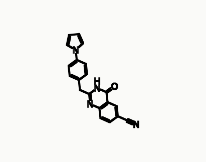 N#Cc1ccc2nc(Cc3ccc(-n4cccc4)cc3)[nH]c(=O)c2c1